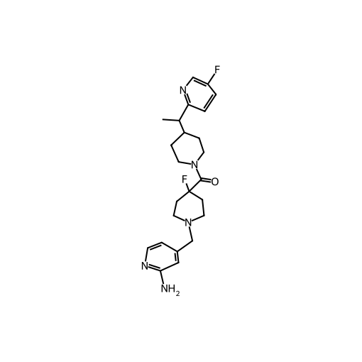 CC(c1ccc(F)cn1)C1CCN(C(=O)C2(F)CCN(Cc3ccnc(N)c3)CC2)CC1